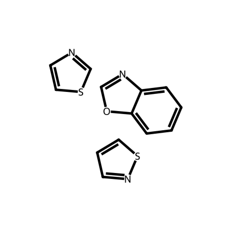 c1ccc2ocnc2c1.c1cnsc1.c1cscn1